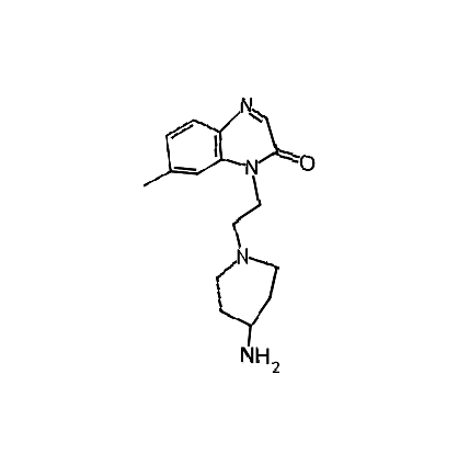 Cc1ccc2ncc(=O)n(CCN3CCC(N)CC3)c2c1